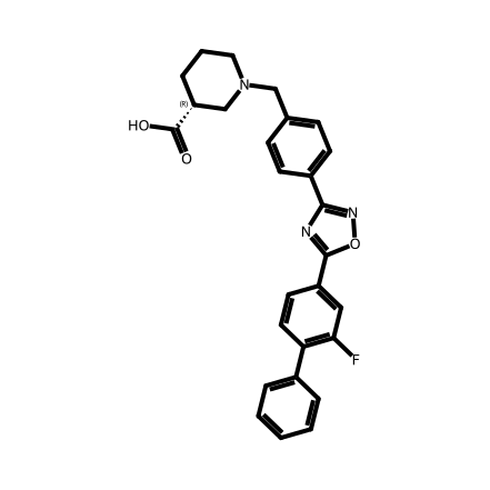 O=C(O)[C@@H]1CCCN(Cc2ccc(-c3noc(-c4ccc(-c5ccccc5)c(F)c4)n3)cc2)C1